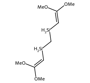 COC(=C[SiH2]C[SiH2]C=C(OC)OC)OC